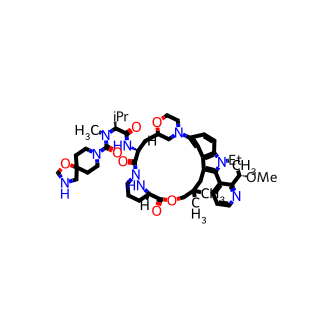 CCn1c(-c2cccnc2[C@H](C)OC)c2c3cc(ccc31)N1CCO[C@@H](C[C@H](NC(=O)[C@H](C(C)C)N(C)C(=O)N3CCC4(CC3)CNCO4)C(=O)N3CCC[C@H](N3)C(=O)OCC(C)(C)C2)C1